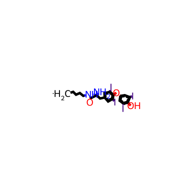 [CH2]CCCCNC(=O)[C@@H](N)Cc1cc(I)c(Oc2cc(I)c(O)c(I)c2)c(I)c1